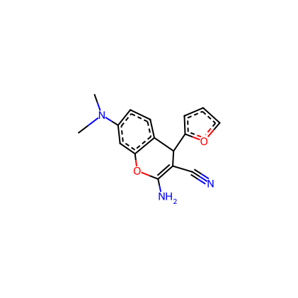 CN(C)c1ccc2c(c1)OC(N)=C(C#N)C2c1ccco1